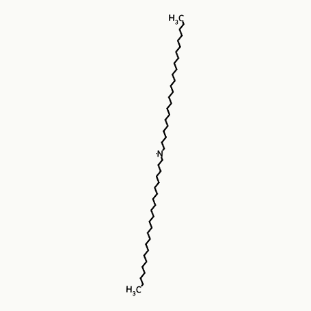 CCCCCCCCCCCCCCCCCCCCCCCC[N]CCCCCCCCCCCCCCCCCCCCCCCC